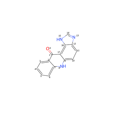 O=c1c2ccccc2[nH]c2ccc3nc[nH]c3c12